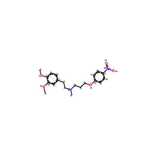 COc1ccc(CCN(C)CCCOc2ccc([N+](=O)[O-])cc2)cc1OC